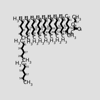 CCCCCC.CCCCCC.CCCCCC.CCCCCC.CCCCCC.CCCCCC.CCCCCC.CCCCCC.CCCCCC.CCCCCC.CCCCCC.CCOC(C)=O